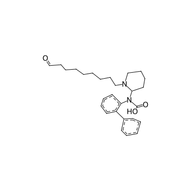 O=CCCCCCCCCN1CCCCC1N(C(=O)O)c1ccccc1-c1ccccc1